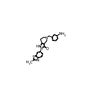 Cc1nc2ccc(-n3[nH]c4c(c3=O)CN(Cc3cccc(N)c3)CC4)cc2s1